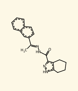 C/C(=N\NC(=O)c1n[nH]c2c1CCCC2)c1ccc2ccccc2c1